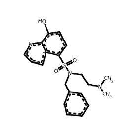 CN(C)CCN(Cc1ccccc1)S(=O)(=O)c1ccc(O)c2ncccc12